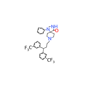 O=C1NCN(c2ccccc2)C12CCN(CCCC(c1cccc(C(F)(F)F)c1)c1cccc(C(F)(F)F)c1)CC2